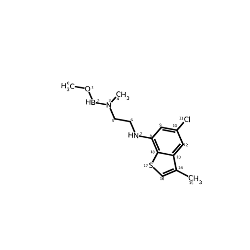 COBN(C)CCNc1cc(Cl)cc2c(C)csc12